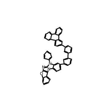 c1ccc(-n2c3cc(-c4cccc(-c5cccc(-c6ccc7c8ccccc8c8ccccc8c7c6)c5)c4)ccc3n3c4c(nc23)oc2ccccc24)cc1